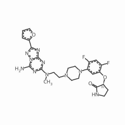 CN(CCN1CCN(c2cc(O[C@H]3CCNC3=O)c(F)cc2F)CC1)c1nc(N)n2nc(-c3ccco3)nc2n1